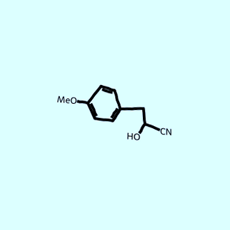 COc1ccc(CC(O)C#N)cc1